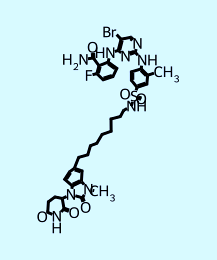 Cc1cc(S(=O)(=O)NCCCCCCCCCc2ccc3c(c2)n(C)c(=O)n3C2CCC(=O)NC2=O)ccc1Nc1ncc(Br)c(Nc2cccc(F)c2C(N)=O)n1